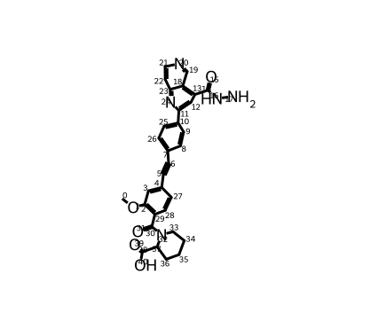 COc1cc(C#Cc2ccc(-c3cc(C(=O)NN)c4cnccc4n3)cc2)ccc1C(=O)N1CCCCC1C(=O)O